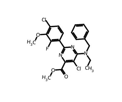 CCN(Cc1ccccc1)c1nc(-c2ccc(Cl)c(OC)c2F)nc(C(=O)OC)c1Cl